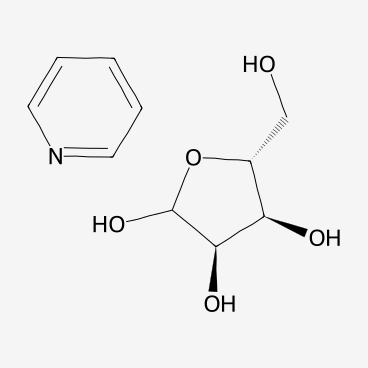 OC[C@H]1OC(O)[C@H](O)[C@@H]1O.c1ccncc1